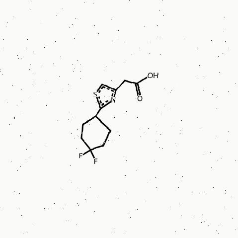 O=C(O)Cc1csc(C2CCC(F)(F)CC2)n1